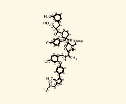 COCC(NC(=O)C(C)NCc1ccc(Cl)cc1Oc1ccc(-c2cnc(CN(C)C)n2C)cc1)C(=O)NC1(Cc2ccc(Cl)cc2)CCCN(C(=O)C(CC(=O)O)Cc2cccc(C)n2)C1